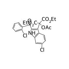 CCOC(=O)C(OC(C)=O)(C(=O)OCC)c1c(C(=O)c2ccccc2Cl)[nH]c2cc(Cl)ccc12